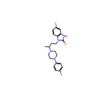 CC(CCn1c(=O)[nH]c2cc(F)ccc21)N1CCN(c2ccc(F)cc2)CC1